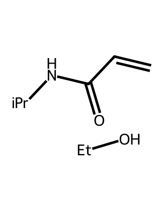 C=CC(=O)NC(C)C.CCO